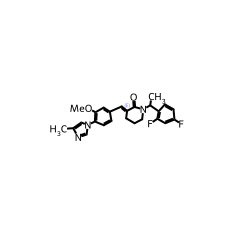 COc1cc(/C=C2\CCCN(C(C)c3ccc(F)cc3F)C2=O)ccc1-n1cnc(C)c1